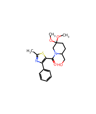 COC1(OC)CCC(CO)N(C(=O)c2sc(C)nc2-c2ccccc2)C1